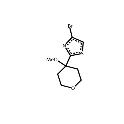 COC1(c2nc(Br)cs2)CCOCC1